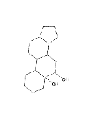 OC1CC2C3CCCC3CCC2C2CCCCC12O